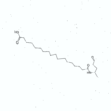 CC(CCC=O)NC(=O)CCCCCCCCCCCCCCCCC(=O)O